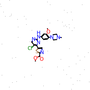 COC(=O)c1ncc(-c2nc(Nc3ccc(N4CCN(C)CC4)c(OC)c3)ncc2Cl)s1